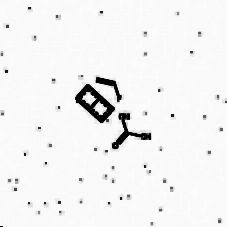 C=CF.O=C(O)O.c1cc2ccc1-2